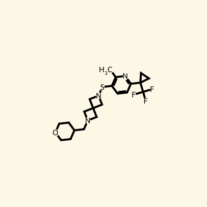 Cc1nc(C2(C(F)(F)F)CC2)ccc1SN1CC2(CN(CC3CCOCC3)C2)C1